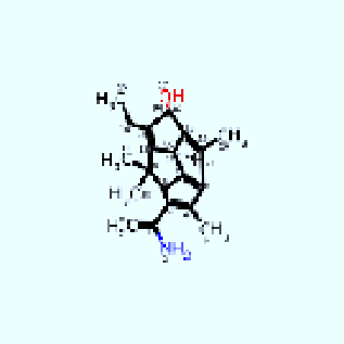 C=C(N)C1=C(C)C2=C3C1C(C)(C)C1=C(CC)[C@@H](O)C(=C2C)[C@@H]31